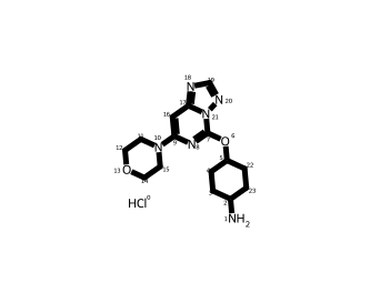 Cl.NC1CCC(Oc2nc(N3CCOCC3)cc3ncnn23)CC1